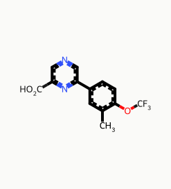 Cc1cc(-c2cncc(C(=O)O)n2)ccc1OC(F)(F)F